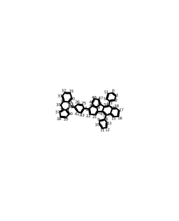 c1ccc(-c2c3c(c(-c4ccccc4)c4ccccc24)-c2ccc(-c4ccc(N5c6ccccc6Cc6ccccc65)cc4)c4cccc-3c24)cc1